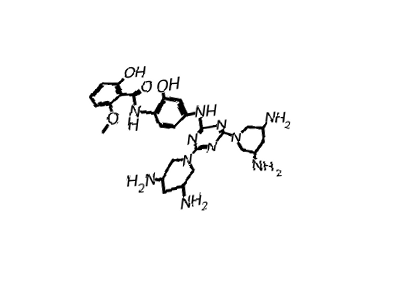 COc1cccc(O)c1C(=O)Nc1ccc(Nc2nc(N3CC(N)CC(N)C3)nc(N3CC(N)CC(N)C3)n2)cc1O